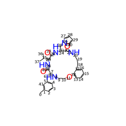 Cc1cccc(C[C@H]2NCCOc3ccccc3CCCNC(=O)[C@H](Cn3cccc3)NC(=O)[C@@H](C(C)C)NC2=O)c1